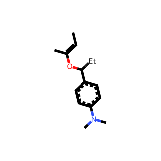 CC=C(C)OC(CC)c1ccc(N(C)C)cc1